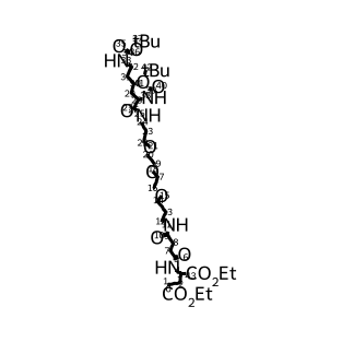 CCOC(=O)CCC(NC(=O)CCC(=O)NCCCOCCOCCOCCCNC(=O)C(CCCCNC(=O)OC(C)(C)C)NC(=O)OC(C)(C)C)C(=O)OCC